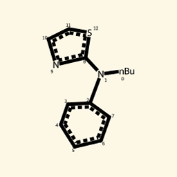 CCCCN(c1ccccc1)c1nccs1